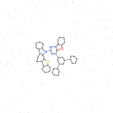 c1ccc(-c2cc(-c3ccccc3)cc(-c3nc(-n4c5ccccc5c5ccc6c7ccccc7sc6c54)nc4c3oc3ccccc34)c2)cc1